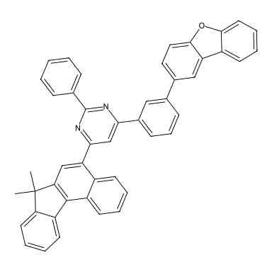 CC1(C)c2ccccc2-c2c1cc(-c1cc(-c3cccc(-c4ccc5oc6ccccc6c5c4)c3)nc(-c3ccccc3)n1)c1ccccc21